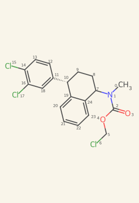 CN(C(=O)OCCl)C1CC[C@@H](c2ccc(Cl)c(Cl)c2)c2ccccc21